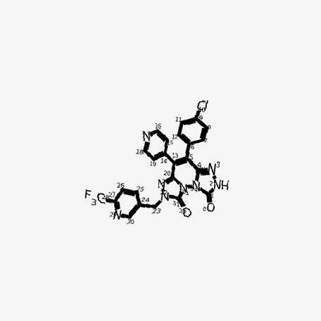 O=c1[nH]nc2c(-c3ccc(Cl)cc3)c(-c3ccncc3)c3nn(Cc4ccc(C(F)(F)F)nc4)c(=O)n3n12